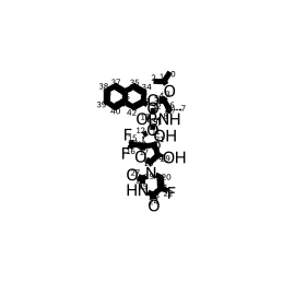 CC(C)OC(=O)[C@H](C)N[P@](=O)(OC[C@@]1(C(F)F)O[C@@H](n2cc(F)c(=O)[nH]c2=O)[C@H](O)[C@@H]1O)Oc1ccc2ccccc2c1